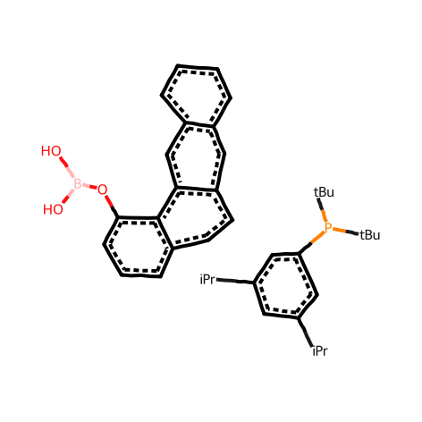 CC(C)c1cc(C(C)C)cc(P(C(C)(C)C)C(C)(C)C)c1.OB(O)Oc1cccc2ccc3cc4ccccc4cc3c12